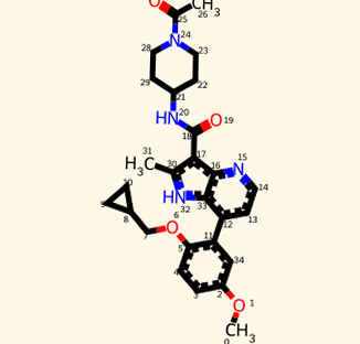 COc1ccc(OCC2CC2)c(-c2ccnc3c(C(=O)NC4CCN(C(C)=O)CC4)c(C)[nH]c23)c1